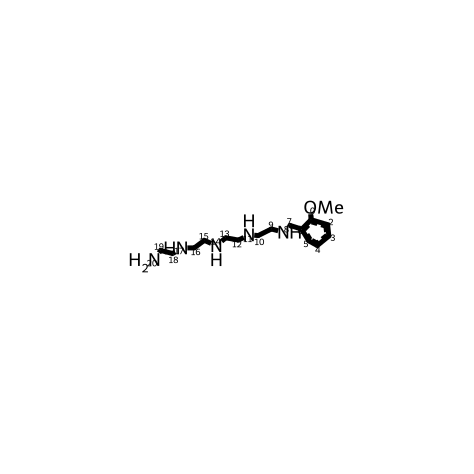 COc1ccccc1CNCCNCCNCCNCCN